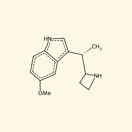 COc1ccc2[nH]cc([C@H](C)C3CCN3)c2c1